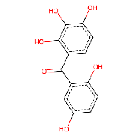 O=C(c1cc(O)ccc1O)c1ccc(O)c(O)c1O